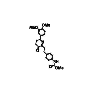 COC(=O)Nc1ccc(CCN2N=C(c3ccc(OC)c(OC)c3)CCC2=O)cc1